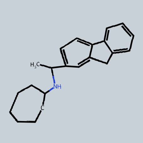 CC(NC1CCCCCC1)c1ccc2c(c1)Cc1ccccc1-2